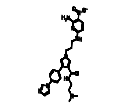 CN(C)CCNC(=O)c1cn(CCCNc2ccc([N+](=O)[O-])c(N)n2)cc1-c1ccc(-n2ccnc2)cc1